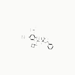 CC1(n2c(NC(=O)C[C@@](C)(O)c3ccccc3)nc3c(OC(F)F)cc(C#N)cc32)CCC1